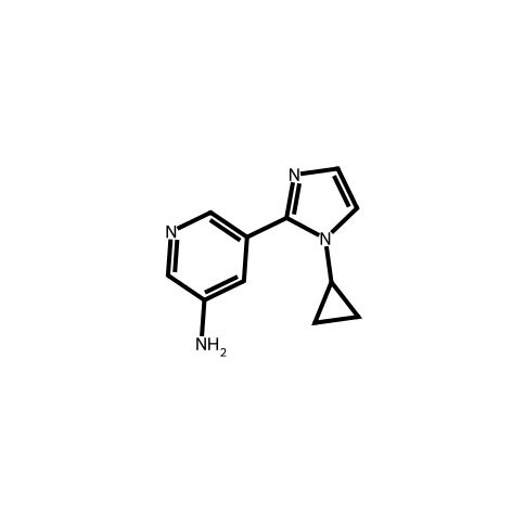 Nc1cncc(-c2nccn2C2CC2)c1